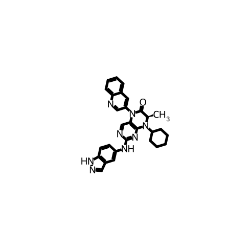 C[C@@H]1C(=O)N(c2cnc3ccccc3c2)c2cnc(Nc3ccc4[nH]ncc4c3)nc2N1C1CCCCC1